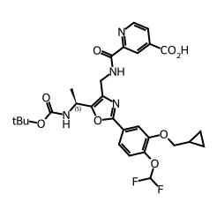 C[C@H](NC(=O)OC(C)(C)C)c1oc(-c2ccc(OC(F)F)c(OCC3CC3)c2)nc1CNC(=O)c1cc(C(=O)O)ccn1